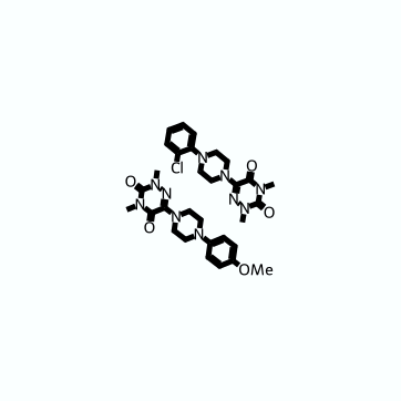 COc1ccc(N2CCN(c3nn(C)c(=O)n(C)c3=O)CC2)cc1.Cn1nc(N2CCN(c3ccccc3Cl)CC2)c(=O)n(C)c1=O